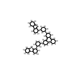 c1cc(-c2ccc3c4ccccc4c4ccc(-c5cccc(-c6cccc7c6sc6ccccc67)c5)cc4c3c2)cc(-c2cccc3c2Cc2ccccc2-3)c1